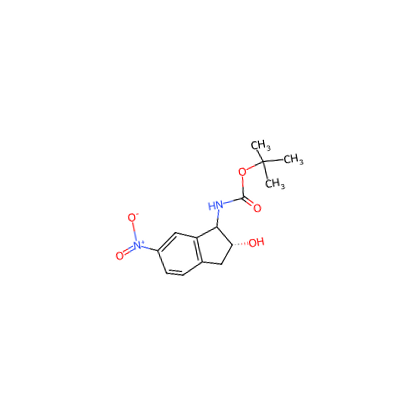 CC(C)(C)OC(=O)NC1c2cc([N+](=O)[O-])ccc2C[C@H]1O